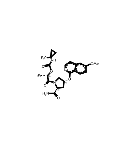 COc1ccc2c(O[C@@H]3C[C@@H](C(N)=O)N(C(=O)[C@@H](OC(=O)NC4(C(F)(F)F)CC4)C(C)C)C3)nccc2c1